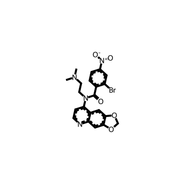 CN(C)CCN(C(=O)c1ccc([N+](=O)[O-])cc1Br)c1ccnc2cc3c(cc12)OCO3